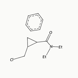 CCN(CC)C(=O)C1CC1CCl.c1ccccc1